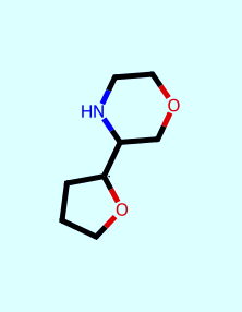 C1CO[C](C2COCCN2)C1